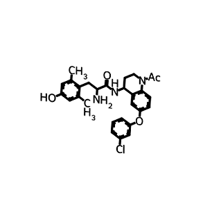 CC(=O)N1CCC(NC(=O)C(N)Cc2c(C)cc(O)cc2C)c2cc(Oc3cccc(Cl)c3)ccc21